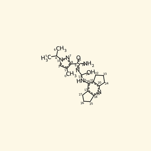 Cc1cn(C(C)C)nc1S(N)(=O)=NC(O)Nc1c2c(nc3c1CCC3)CCC2